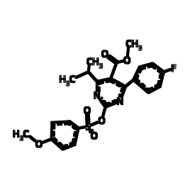 COC(=O)c1c(-c2ccc(F)cc2)nc(OS(=O)(=O)c2ccc(OC)cc2)nc1C(C)C